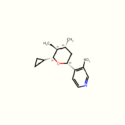 C[C@H]1[C@H](C)C[C@H](c2ccncc2[N+](=O)[O-])O[C@@H]1C1CC1